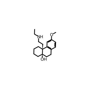 CCNCC[C@]12CCCC[C@@]1(O)CCc1ccc(OC)cc12